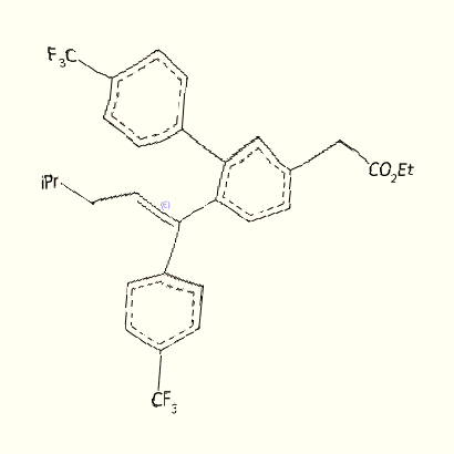 CCOC(=O)Cc1ccc(/C(=C/CC(C)C)c2ccc(C(F)(F)F)cc2)c(-c2ccc(C(F)(F)F)cc2)c1